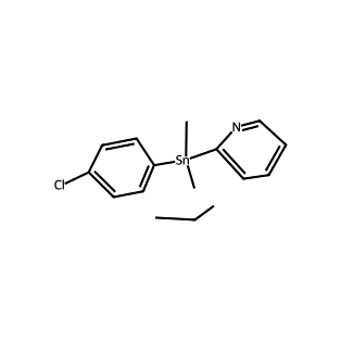 CCC.[CH3][Sn]([CH3])([c]1ccc(Cl)cc1)[c]1ccccn1